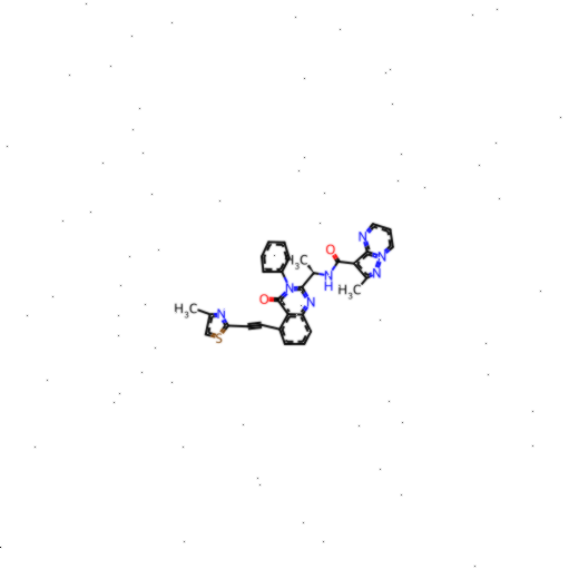 Cc1csc(C#Cc2cccc3nc([C@@H](C)NC(=O)c4c(C)nn5cccnc45)n(-c4ccccc4)c(=O)c23)n1